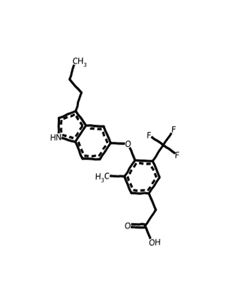 CCCc1c[nH]c2ccc(Oc3c(C)cc(CC(=O)O)cc3C(F)(F)F)cc12